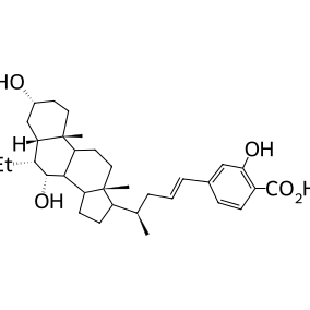 CC[C@H]1[C@@H](O)C2C3CCC([C@H](C)C/C=C/c4ccc(C(=O)O)c(O)c4)[C@@]3(C)CCC2[C@@]2(C)CC[C@@H](O)C[C@@H]12